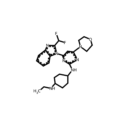 CCNC1CCC(Nc2nc(N3CCOCC3)cc(-n3c(C(F)F)nc4ccccc43)n2)CC1